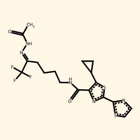 CC(=O)N/N=C(\CCCCNC(=O)c1nc(-c2nccs2)sc1C1CC1)C(F)(F)F